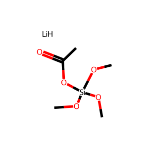 CO[Si](OC)(OC)OC(C)=O.[LiH]